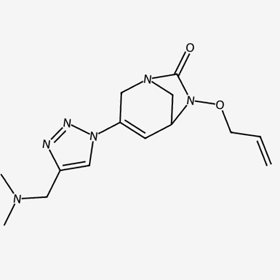 C=CCON1C(=O)N2CC(n3cc(CN(C)C)nn3)=CC1C2